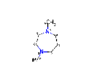 CC(C)N1CCCN(C)CC1